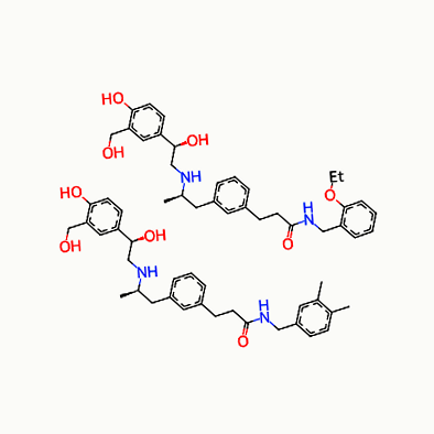 CCOc1ccccc1CNC(=O)CCc1cccc(C[C@@H](C)NC[C@H](O)c2ccc(O)c(CO)c2)c1.Cc1ccc(CNC(=O)CCc2cccc(C[C@@H](C)NC[C@H](O)c3ccc(O)c(CO)c3)c2)cc1C